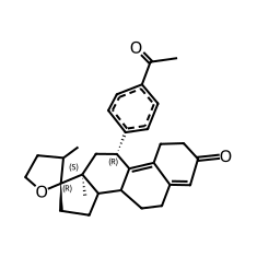 CC(=O)c1ccc([C@H]2C[C@@]3(C)C(CC[C@]34OCCC4C)C3CCC4=CC(=O)CCC4=C32)cc1